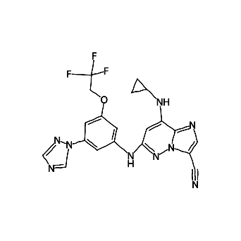 N#Cc1cnc2c(NC3CC3)cc(Nc3cc(OCC(F)(F)F)cc(-n4cncn4)c3)nn12